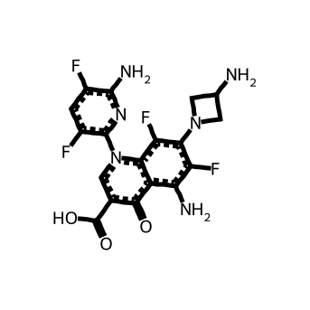 Nc1nc(-n2cc(C(=O)O)c(=O)c3c(N)c(F)c(N4CC(N)C4)c(F)c32)c(F)cc1F